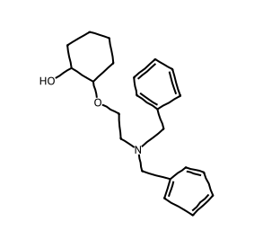 OC1CCCCC1OCCN(Cc1ccccc1)Cc1ccccc1